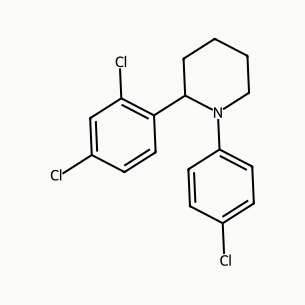 Clc1ccc(N2CCCCC2c2ccc(Cl)cc2Cl)cc1